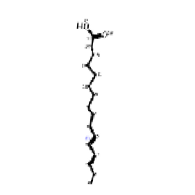 CCC=C/C=C/CCCCCCCCCC(=O)O